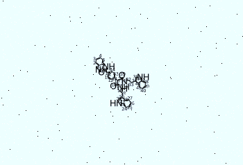 Nc1ccccc1NC(=O)c1ccc(C(C(=O)NCCc2c[nH]c3ccccc23)C(=O)NCCc2c[nH]c3ccccc23)cc1